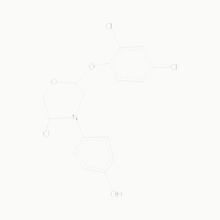 Oc1ccc(N2CC(Oc3ccc(Cl)cc3Cl)OCC2Cl)cc1